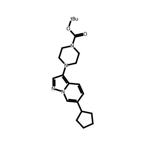 CC(C)(C)OC(=O)N1CCN(c2cnn3cc(C4CCCC4)ccc23)CC1